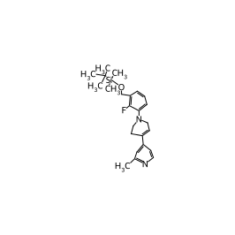 Cc1cc(C2=CCN(c3cccc(CO[Si](C)(C)C(C)(C)C)c3F)CC2)ccn1